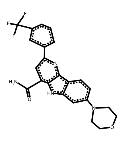 NC(=O)c1cc(-c2cccc(C(F)(F)F)c2)nc2c1[nH]c1cc(N3CCOCC3)ccc12